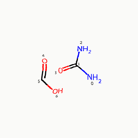 NC(N)=O.O=CO